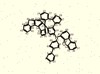 c1ccc(-c2ccc(N(c3ccc4c(c3)-c3ccccc3-c3ccccc3C43c4ccccc4-c4c3ccc3c4-c4ccccc4C3)c3cccc4c3oc3ccccc34)cc2)cc1